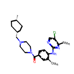 CNc1nc(Nc2ccc(C(=O)N3CCN(C[C@H]4CC[C@@H](C)CC4)CC3)cc2OC)ncc1Cl